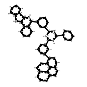 c1ccc(-c2nc(-c3cccc(-c4nc5c6ccccc6sc5c5ccccc45)c3)nc(-c3cccc(-c4ccc5ccc6cccc7ccc4c5c67)c3)n2)cc1